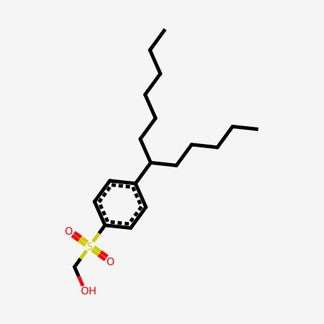 CCCCCCC(CCCCC)c1ccc(S(=O)(=O)CO)cc1